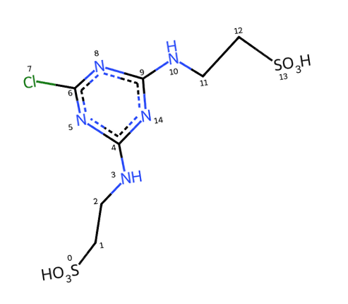 O=S(=O)(O)CCNc1nc(Cl)nc(NCCS(=O)(=O)O)n1